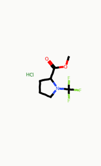 COC(=O)C1CCCN1C(F)(F)F.Cl